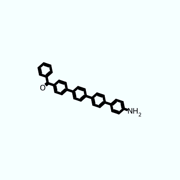 Nc1ccc(-c2ccc(-c3ccc(-c4ccc(C(=O)c5ccccc5)cc4)cc3)cc2)cc1